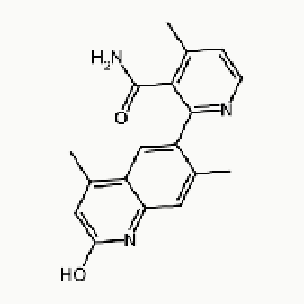 Cc1cc2nc(O)cc(C)c2cc1-c1nccc(C)c1C(N)=O